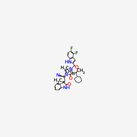 C=C(C1CCCCC1)[C@@H](C(=O)N(C)[C@H](C#N)C[C@@]1(C)C(=O)Nc2ccccc21)N(C)C(=O)c1cc2c(F)c(F)ccc2[nH]1